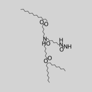 CCCCCCCCCCC(CC)OC(=O)CCCCCN(CCCCCCCC(=O)OC(CCCCCCCC)CCCCCCCC)CC(O)CCCCNC(=O)NC